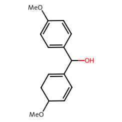 COc1ccc(C(O)C2=CCC(OC)C=C2)cc1